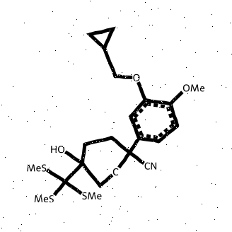 COc1ccc(C2(C#N)CCC(O)(C(SC)(SC)SC)CC2)cc1OCC1CC1